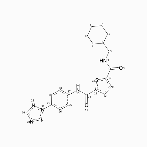 O=C(NCC1CCCCC1)c1ccc(C(=O)Nc2ccc(-n3cncn3)cc2)s1